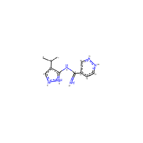 CC(C)c1cn[nH]c1NC(=N)c1ccnnc1